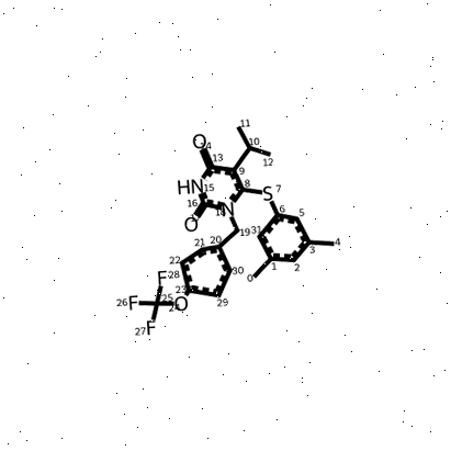 Cc1cc(C)cc(Sc2c(C(C)C)c(=O)[nH]c(=O)n2Cc2ccc(OC(F)(F)F)cc2)c1